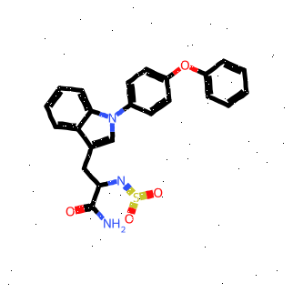 NC(=O)C(Cc1cn(-c2ccc(Oc3ccccc3)cc2)c2ccccc12)N=S(=O)=O